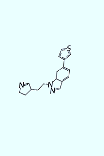 C1=NCCC1CCN1N=CC2=CC=C(c3ccsc3)CC21